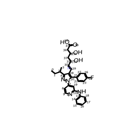 CCC(C)c1nn(-c2ccnc(Nc3ccccc3)c2)c(-c2ccc(F)cc2)c1/C=C/[C@@H](O)C[C@@H](O)CC(=O)O